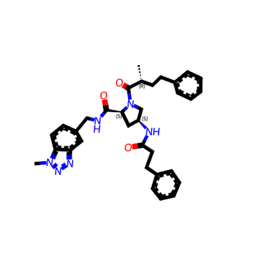 C[C@H](CCc1ccccc1)C(=O)N1C[C@@H](NC(=O)CCc2ccccc2)C[C@H]1C(=O)NCc1ccc2c(c1)nnn2C